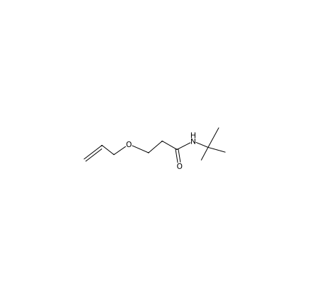 C=CCOCCC(=O)NC(C)(C)C